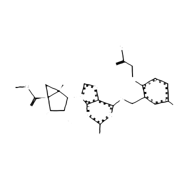 CNC(=O)[C@@]12C[C@@H]1[C@H](n1cnc3c(NCc4cc(Cl)ccc4OCC(N)=O)nc(Cl)nc31)[C@H](O)[C@@H]2O